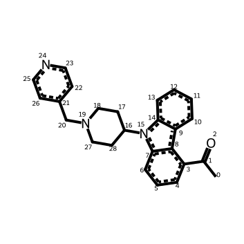 CC(=O)c1cccc2c1c1ccccc1n2C1CCN(Cc2ccncc2)CC1